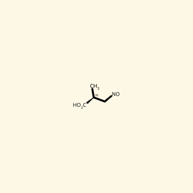 C[C@@H](CN=O)C(=O)O